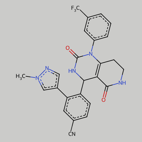 Cn1cc(-c2cc(C#N)ccc2C2NC(=O)N(c3cccc(C(F)(F)F)c3)C3=C2C(=O)NCC3)cn1